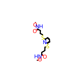 CONC(=O)CCCSc1cccc(SCCCC(=O)NOC)n1